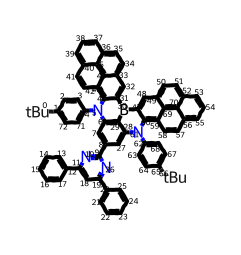 CC(C)(C)c1ccc(N2c3cc(-c4nc(-c5ccccc5)cc(-c5ccccc5)n4)cc4c3B(c3cc5ccc6cccc7ccc(c32)c5c67)c2cc3ccc5cccc6ccc(c2N4c2ccc(C(C)(C)C)cc2)c3c56)cc1